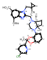 COc1cc(C(=O)O)cc2c1nc(CN1CCN(c3cccc4c3O[C@@](C)(c3ccc(Cl)cn3)O4)[C@H]3CC[C@@H]31)n2CC1(C#N)CC1